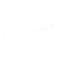 CCC(C)[C@H](N)C(=O)NNC(=O)c1ccc(O)cc1